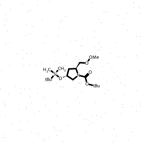 COOC[C@@H]1C[C@@H](O[Si](C)(C)C(C)(C)C)CN1C(=O)OC(C)(C)C